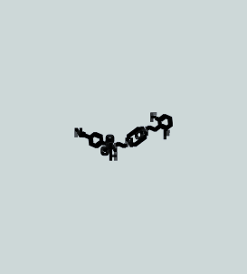 N#Cc1ccc(S(=O)(=O)NCCN2CC3CN(CCc4c(F)cccc4F)CC(C2)O3)cc1